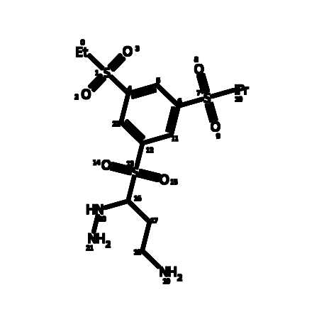 CCS(=O)(=O)c1cc(S(=O)(=O)C(C)C)cc(S(=O)(=O)C(CCN)NN)c1